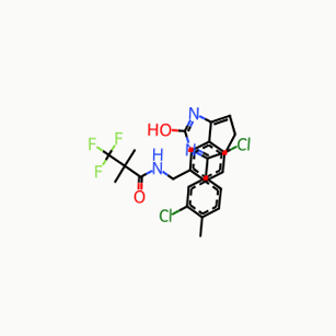 Cc1ccc(/C2=N/C(O)=N\C(c3cc(CNC(=O)C(C)(C)C(F)(F)F)ccc3Cl)=C\CC2)cc1Cl